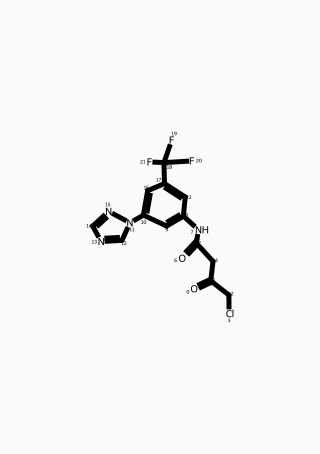 O=C(CCl)CC(=O)Nc1cc(-n2cncn2)cc(C(F)(F)F)c1